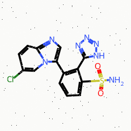 NS(=O)(=O)c1cccc(-c2cnc3ccc(Cl)cn23)c1-c1nnn[nH]1